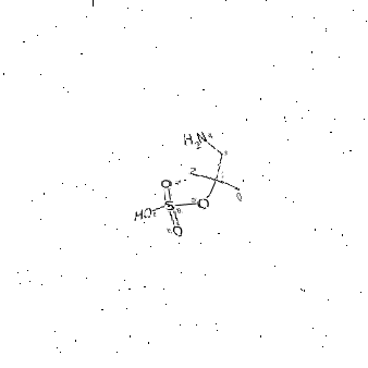 CC(C)(CN)OS(=O)(=O)O